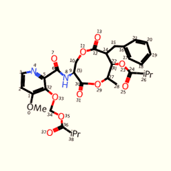 COc1ccnc(C(=O)N[C@H]2COC(=O)C(Cc3ccccc3)[C@@H](OC(=O)C(C)C)C(C)OC2=O)c1OCOC(=O)C(C)C